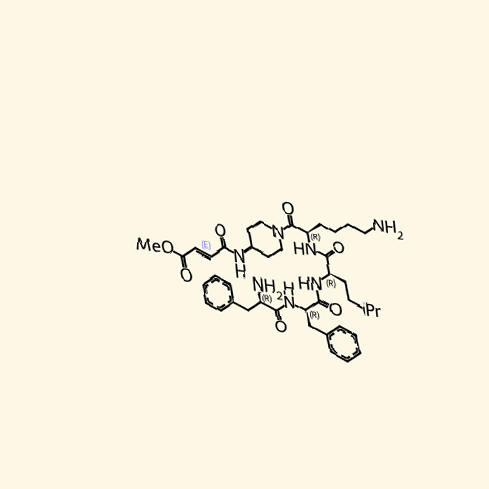 COC(=O)/C=C/C(=O)NC1CCN(C(=O)[C@@H](CCCCN)NC(=O)[C@@H](CCC(C)C)NC(=O)[C@@H](Cc2ccccc2)NC(=O)[C@H](N)Cc2ccccc2)CC1